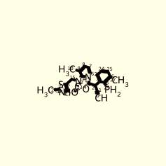 C#CC(C(=O)n1cccc(C)/c1=[N+](/CO)Cc1cnc(C)s1)c1cccc(C)c1P